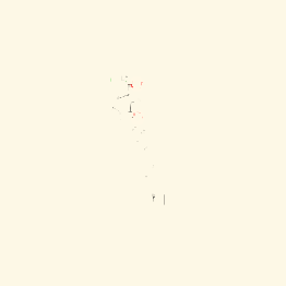 CCCCCCCCCCOc1cccc(C(=O)Cl)c1